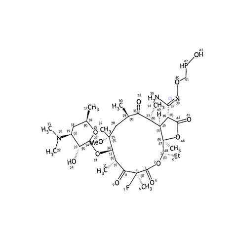 CC[C@@H]1OC(=O)[C@@](C)(F)C(=O)[C@H](C)[C@@H](OC2O[C@H](C)C[C@H](N(C)C)[C@H]2O)[C@](C)(OC)C[C@@H](C)C(=O)[C@H](C)[C@H]2[C@H](/C(N)=N/OCPO)C(=O)O[C@]21C